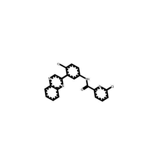 O=C(Nc1ccc(Cl)c(-c2cnc3ccccc3n2)c1)c1cccc(Cl)n1